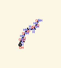 CNC(=O)CNC(=O)CNC(=O)C(C)NC(=O)CNC(=O)C(C)NC(=O)CNC(=O)CNC(=O)CNC(=O)C(Cc1ccc(O)cc1)NC(C)=O